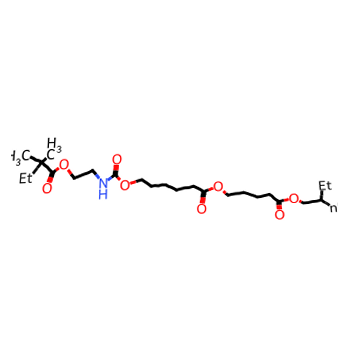 CCCCC(CC)COC(=O)CCCCOC(=O)CCCCCOC(=O)NCCOC(=O)C(C)(C)CC